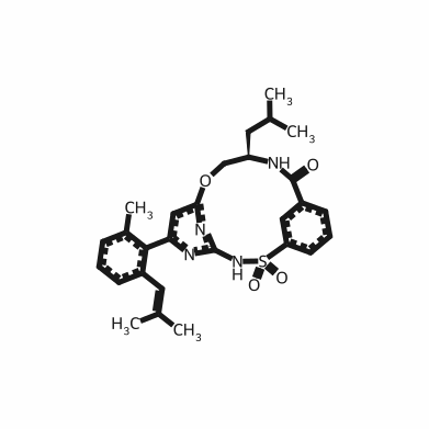 CC(C)=Cc1cccc(C)c1-c1cc2nc(n1)NS(=O)(=O)c1cccc(c1)C(=O)N[C@H](CC(C)C)CO2